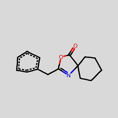 O=C1OC(Cc2ccccc2)=NC12CCCCC2